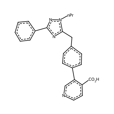 CCCn1nc(-c2ccccc2)nc1Cc1ccc(-c2cnccc2C(=O)O)cc1